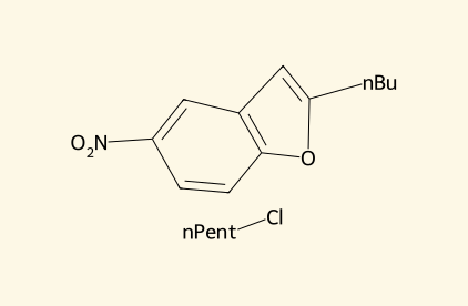 CCCCCCl.CCCCc1cc2cc([N+](=O)[O-])ccc2o1